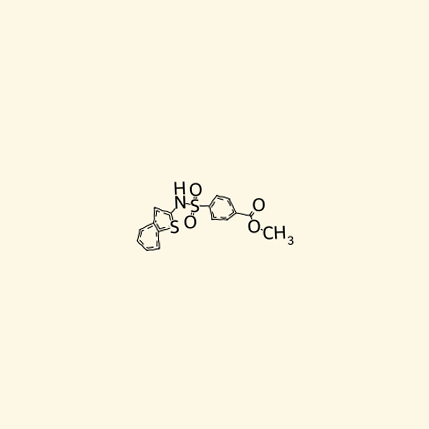 COC(=O)c1ccc(S(=O)(=O)Nc2cc3ccccc3s2)cc1